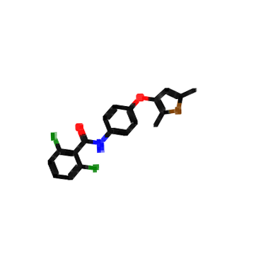 Cc1cc(Oc2ccc(NC(=O)c3c(F)cccc3F)cc2)c(C)s1